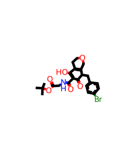 CC(C)(C)OC(=O)CNC(=O)C1=C(O)C2=C(COCC2)C(Cc2ccc(Br)cc2)C1=O